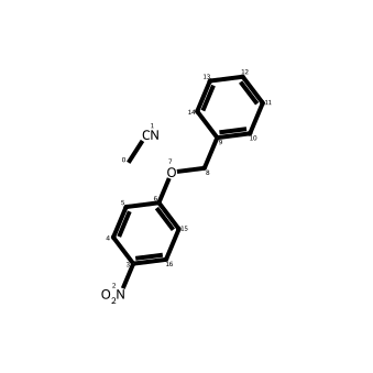 CC#N.O=[N+]([O-])c1ccc(OCc2ccccc2)cc1